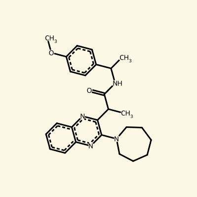 COc1ccc(C(C)NC(=O)C(C)c2nc3ccccc3nc2N2CCCCCC2)cc1